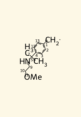 [CH2]c1ccc(C(C)(C)NCCOC)cc1